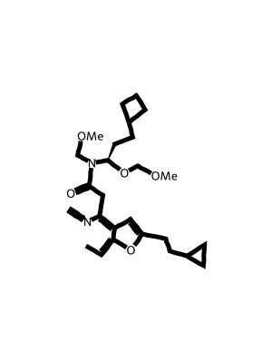 C=N/C(CC(=O)N(COC)[C@@H](CCC1CCC1)OCOC)=c1/cc(CCC2CC2)o/c1=C/C